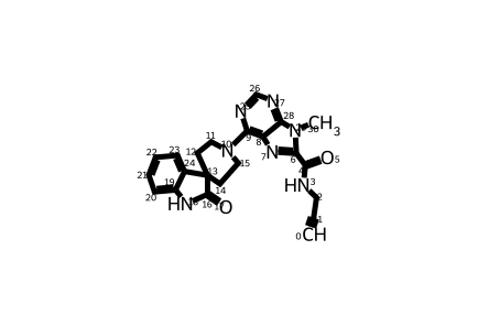 C#CCNC(=O)c1nc2c(N3CCC4(CC3)C(=O)Nc3ccccc34)ncnc2n1C